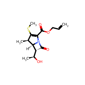 C=CCOC(=O)C1=C(SC)[C@H](C)[C@@H]2[C@@H]([C@H](C)O)C(=O)N12